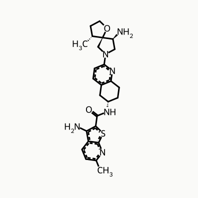 Cc1ccc2c(N)c(C(=O)N[C@H]3CCc4nc(N5C[C@H](N)[C@@]6(C5)OCC[C@H]6C)ccc4C3)sc2n1